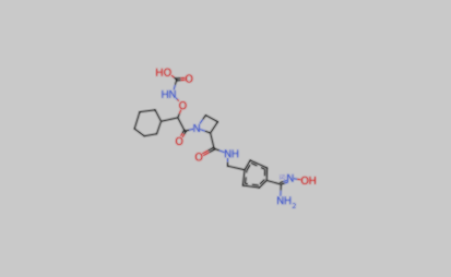 N/C(=N\O)c1ccc(CNC(=O)C2CCN2C(=O)C(ONC(=O)O)C2CCCCC2)cc1